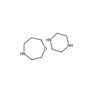 C1CNCCN1.C1CNCCOC1